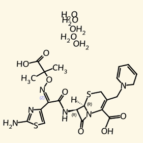 CC(C)(O/N=C(\C(=O)N[C@@H]1C(=O)N2C(C(=O)O)=C(CN3C=CC=CC3)CS[C@H]12)c1csc(N)n1)C(=O)O.O.O.O.O.O